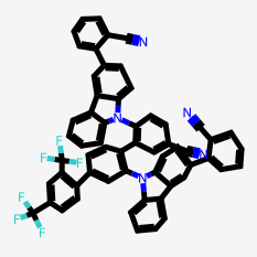 N#Cc1ccc(-n2c3ccccc3c3cc(-c4ccccc4C#N)ccc32)c(-c2ccc(-c3ccc(C(F)(F)F)cc3C(F)(F)F)cc2-n2c3ccccc3c3cc(-c4ccccc4C#N)ccc32)c1